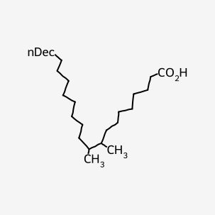 CCCCCCCCCCCCCCCCCCC(C)C(C)CCCCCCCC(=O)O